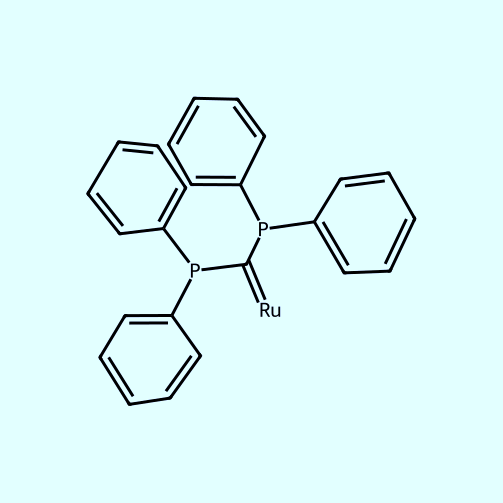 [Ru]=[C](P(c1ccccc1)c1ccccc1)P(c1ccccc1)c1ccccc1